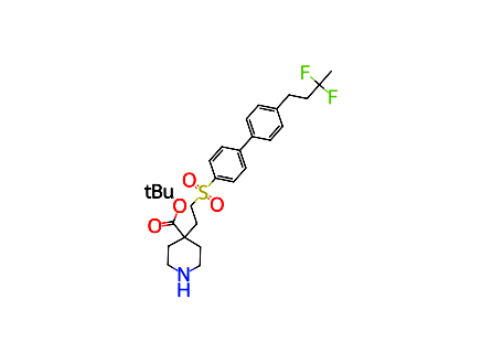 CC(F)(F)CCc1ccc(-c2ccc(S(=O)(=O)CCC3(C(=O)OC(C)(C)C)CCNCC3)cc2)cc1